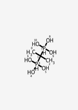 CC(C)([PH](O)(O)O)[PH](O)(O)O